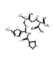 C=C(CC(CC)N(C(C)=N)C(=N)C(C)C)N(C)CCC(NC(=O)C1CCCC1)c1ccc([N+](=O)[O-])s1